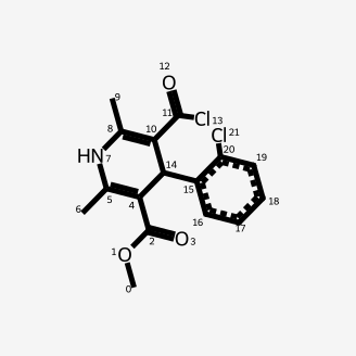 COC(=O)C1=C(C)NC(C)=C(C(=O)Cl)C1c1ccccc1Cl